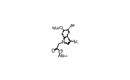 CCCCOC(=O)Cn1cc(C(C)=O)c2cc(Br)c(OC)cc21